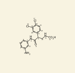 Nc1cccc(NC(=O)C(CNC(=O)O)c2ccc(Cl)c(Cl)c2)c1